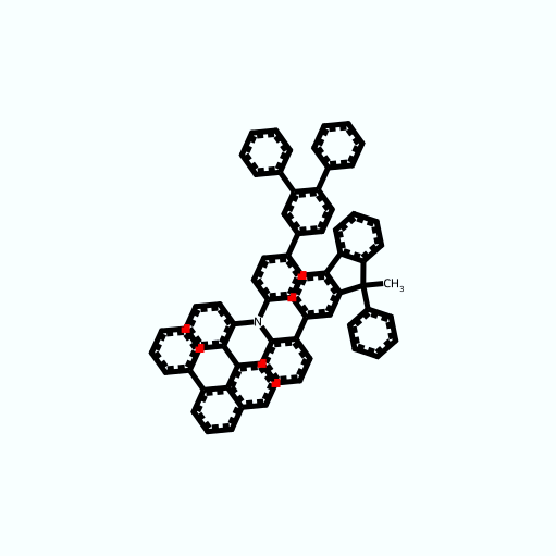 CC1(c2ccccc2)c2ccccc2-c2ccc(-c3ccccc3N(c3ccc(-c4ccc(-c5ccccc5)c(-c5ccccc5)c4)cc3)c3ccccc3-c3cccc4cccc(-c5ccccc5)c34)cc21